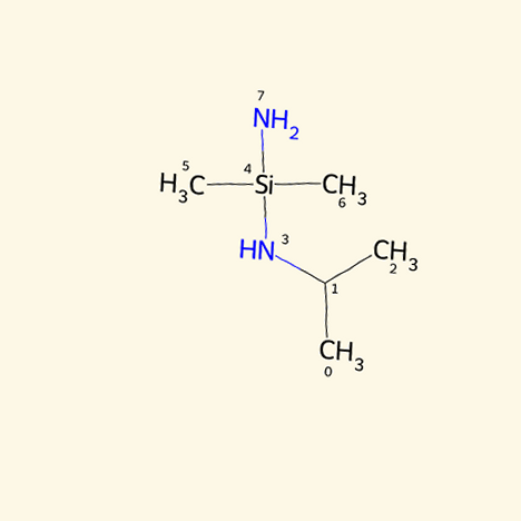 CC(C)N[Si](C)(C)N